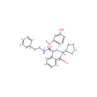 COc1cc(O)ccc1[C@H]1[C@H](C(=O)NCCc2ccccc2)c2ccccc2C(=O)N1C1CCCC1